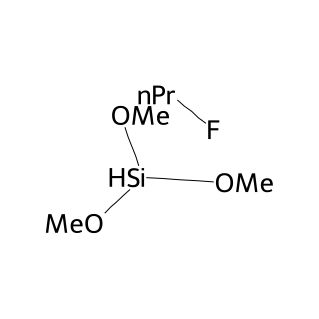 CCCF.CO[SiH](OC)OC